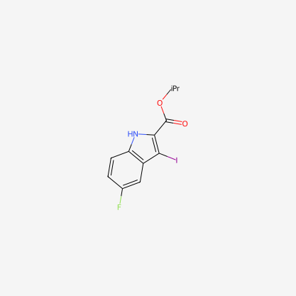 CC(C)OC(=O)c1[nH]c2ccc(F)cc2c1I